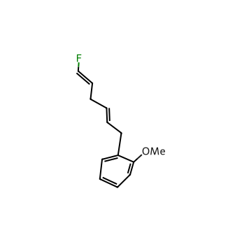 COc1ccccc1CC=CCC=CF